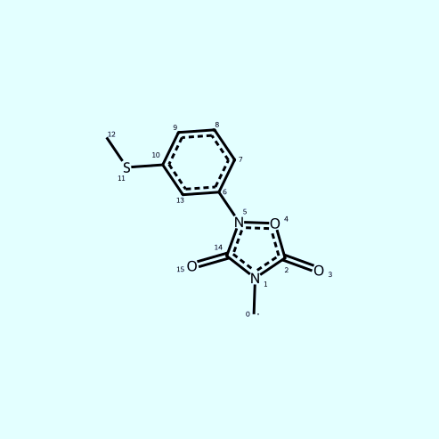 [CH2]n1c(=O)on(-c2cccc(SC)c2)c1=O